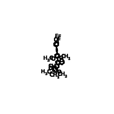 COC1=N[C@H](C(C)C)C(OC)=N[C@H]1Cc1ccc(-c2c(OC)cc(C#Cc3ccc(OC(F)(F)F)cc3)cc2OC)c2c1CCCO2